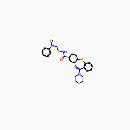 CCN(CCNC(=O)c1ccc2c(c1)N=C(N1CCCCC1)c1ccccc1S2)c1ccccc1